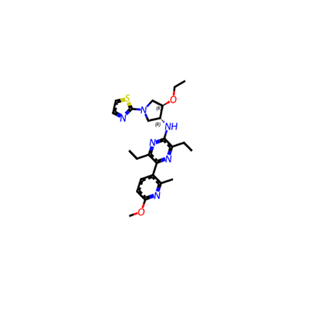 CCO[C@@H]1CN(c2nccs2)C[C@H]1Nc1nc(CC)c(-c2ccc(OC)nc2C)nc1CC